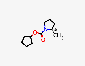 C[C@H]1CCCN1C(=O)OC1CCCC1